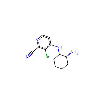 N#Cc1nccc(N[C@@H]2CCCC[C@@H]2N)c1Br